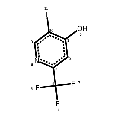 Oc1cc(C(F)(F)F)ncc1I